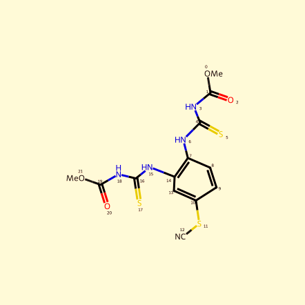 COC(=O)NC(=S)Nc1ccc(SC#N)cc1NC(=S)NC(=O)OC